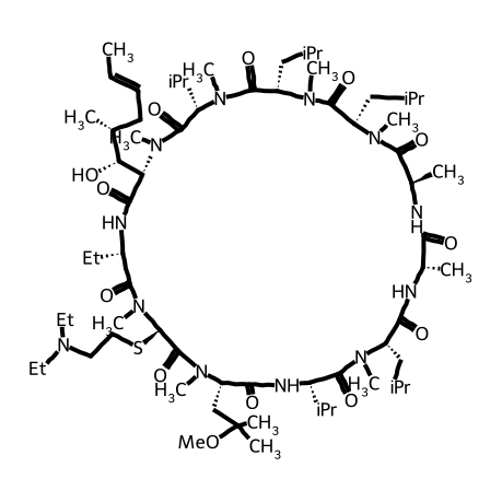 C/C=C/C[C@@H](C)[C@@H](O)[C@H]1C(=O)N[C@@H](CC)C(=O)N(C)[C@H](SCCN(CC)CC)C(=O)N(C)[C@@H](CC(C)(C)OC)C(=O)N[C@@H](C(C)C)C(=O)N(C)[C@@H](CC(C)C)C(=O)N[C@@H](C)C(=O)N[C@H](C)C(=O)N(C)[C@@H](CC(C)C)C(=O)N(C)[C@@H](CC(C)C)C(=O)N(C)[C@@H](C(C)C)C(=O)N1C